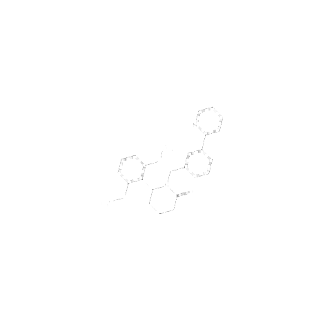 COc1cccc(OC)c1C1CCCC(=O)N1Cc1cccc(-c2ccccn2)c1